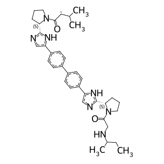 CCC(C)NCC(=O)N1CCC[C@H]1c1ncc(-c2ccc(-c3ccc(-c4cnc([C@@H]5CCCN5C(=O)[CH]C(C)C)[nH]4)cc3)cc2)[nH]1